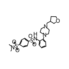 CN(C)S(=O)(=O)c1ccc(S(=O)(=O)Nc2ccccc2N2CCN(CC3CCOC3)CC2)cc1